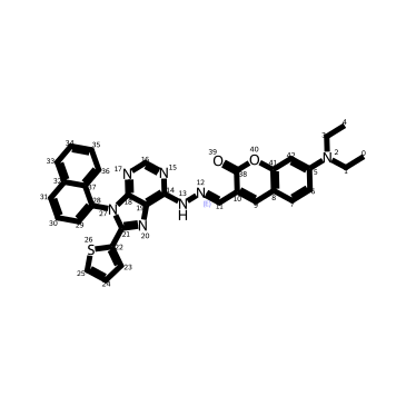 CCN(CC)c1ccc2cc(/C=N/Nc3ncnc4c3nc(-c3cccs3)n4-c3cccc4ccccc34)c(=O)oc2c1